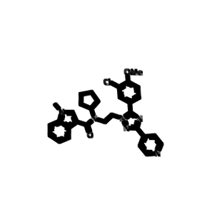 COc1ccc(-c2nc(-c3ccncc3)nn2CCN(C(=O)c2cn(C)c3ccccc23)C2CCCC2)cc1Cl